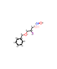 O=NBCC(I)COCc1ccccc1